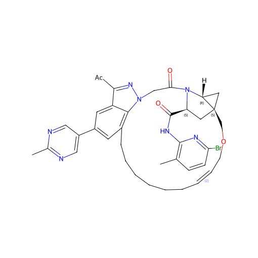 CC(=O)c1nn2c3c(cc(-c4cnc(C)nc4)cc13)CCCCCC/C=C\COC[C@@]13C[C@@H](C(=O)Nc4nc(Br)ccc4C)N(C(=O)C2)[C@@H]1C3